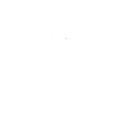 CNC1CCC(c2cnc3nnn(Cc4ccc5ncccc5c4)c3n2)CC1